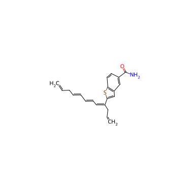 C=CC/C=C/C=C/C=C(/CC=C)c1cc2cc(C(N)=O)ccc2s1